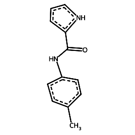 Cc1ccc(NC(=O)c2ccc[nH]2)cc1